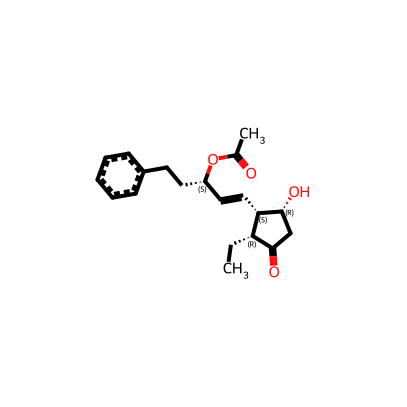 CC[C@H]1C(=O)C[C@@H](O)[C@H]1C=C[C@H](CCc1ccccc1)OC(C)=O